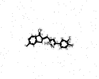 Cc1ccc2c(c1)C/C(=C\c1cc(-c3ccc(F)c(F)c3)n[nH]1)C2=O